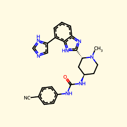 CN1CC[C@@H](NC(=O)Nc2ccc(C#N)cc2)C[C@@H]1c1nc2cccc(-c3cnc[nH]3)c2[nH]1